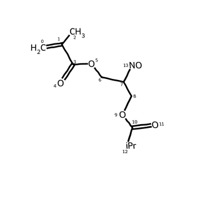 C=C(C)C(=O)OCC(COC(=O)C(C)C)N=O